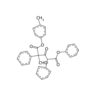 Cc1ccc(OC(=O)C([C]=O)(C(=O)C(C(=O)Oc2ccccc2)c2ccccc2)c2ccccc2)cc1